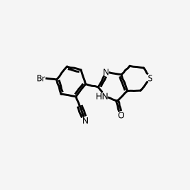 N#Cc1cc(Br)ccc1-c1nc2c(c(=O)[nH]1)CSCC2